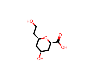 O=C(O)[C@H]1C[C@@H](O)C[C@@H](CCO)O1